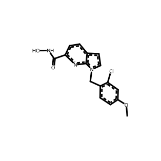 COc1ccc(Cn2ccc3ccc(C(=O)NO)nc32)c(Cl)c1